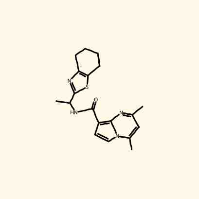 Cc1cc(C)n2ccc(C(=O)NC(C)c3nc4c(s3)CCCC4)c2n1